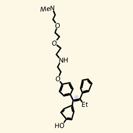 CC/C(=C(\c1ccc(O)cc1)c1ccc(OCCNCCOCCOCCNC)cc1)c1ccccc1